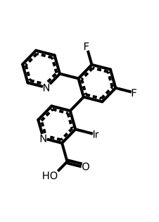 O=C(O)c1nccc(-c2cc(F)cc(F)c2-c2ccccn2)[c]1[Ir]